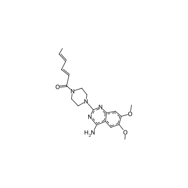 CC=CC=CC(=O)N1CCN(c2nc(N)c3cc(OC)c(OC)cc3n2)CC1